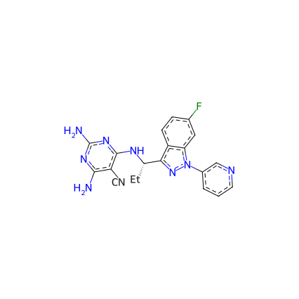 CC[C@H](Nc1nc(N)nc(N)c1C#N)c1nn(-c2cccnc2)c2cc(F)ccc12